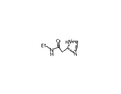 CCNC(=O)Cc1ncc[nH]1